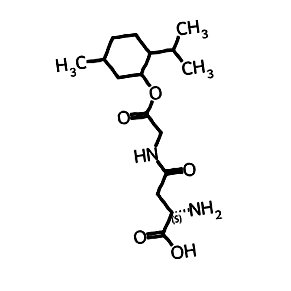 CC1CCC(C(C)C)C(OC(=O)CNC(=O)C[C@H](N)C(=O)O)C1